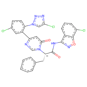 O=C(Nc1noc2c(Cl)cccc12)[C@H](Cc1ccccc1)n1cnc(-c2cc(Cl)ccc2-n2cc(Cl)nn2)cc1=O